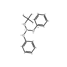 CC(C)(C)OP(Oc1ccccc1)Oc1ccccc1